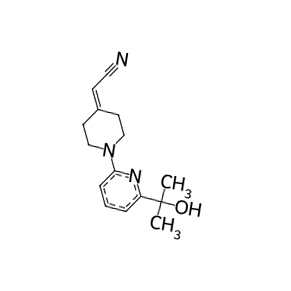 CC(C)(O)c1cccc(N2CCC(=CC#N)CC2)n1